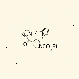 CCOC(=O)N1CCC(C(=O)c2nccn2CCc2cccn2C)CC1